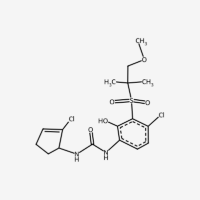 COCC(C)(C)S(=O)(=O)c1c(Cl)ccc(NC(=O)NC2CCC=C2Cl)c1O